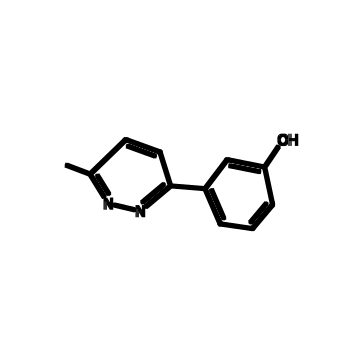 Cc1ccc(-c2cccc(O)c2)nn1